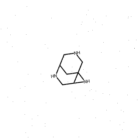 C1NCC23CC1NCC2N3